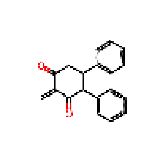 C=C1C(=O)CC(c2ccccc2)C(c2ccccc2)C1=O